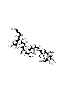 C/C=C/C[C@@H](C)[C@@H](O)[C@@H](C(=O)N[C@H](C(=O)O)[C@@H](C)O)N(C)C(=O)[C@H](C(C)C)N(C)C(=O)[C@H](CC(C)C)NC(=O)[C@H](CC(C)C)N(C)C(=O)[C@@H](C)NC(=O)[C@H](C)NC(=O)[C@H](CC(C)C)N(C)C(=O)[C@H](CC(C)C)NC(=O)[C@H](CC(C)C)N(C)C(=O)CNC